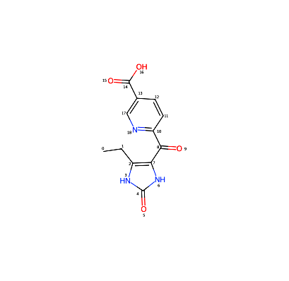 CCc1[nH]c(=O)[nH]c1C(=O)c1ccc(C(=O)O)cn1